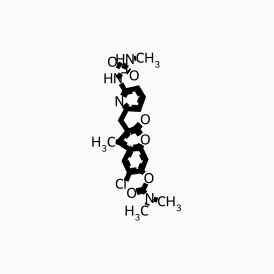 CNS(=O)(=O)Nc1cccc(Cc2c(C)c3cc(Cl)c(OC(=O)N(C)C)cc3oc2=O)n1